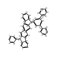 c1ccc(-n2c3ccccc3c3cc4cc5c(cc4cc32)c2ccccc2n5-c2cc(-c3cccnc3)cc(-c3cccnc3)c2)cc1